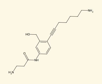 NCCCCCC#Cc1ccc(NC(=O)CCN)cc1CO